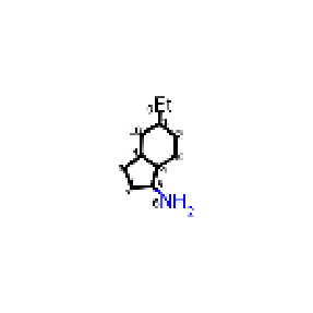 CCC1CCC2C(N)CCC2C1